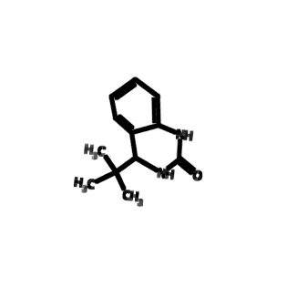 CC(C)(C)C1NC(=O)Nc2ccccc21